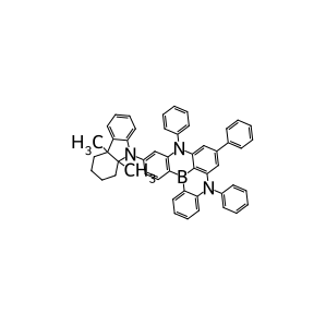 CC12CCCCC1(C)N(c1ccc3c(c1)N(c1ccccc1)c1cc(-c4ccccc4)cc4c1B3c1ccccc1N4c1ccccc1)c1ccccc12